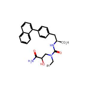 CC(C)CN(CC(O)C(N)=O)C(=O)N[C@@H](Cc1ccc(-c2cccc3ccccc23)cc1)C(=O)O